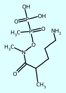 CC(CCCN)C(=O)N(C)OP(C)(=O)P(=O)(O)O